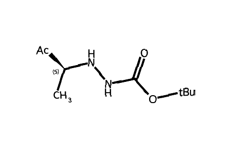 CC(=O)[C@H](C)NNC(=O)OC(C)(C)C